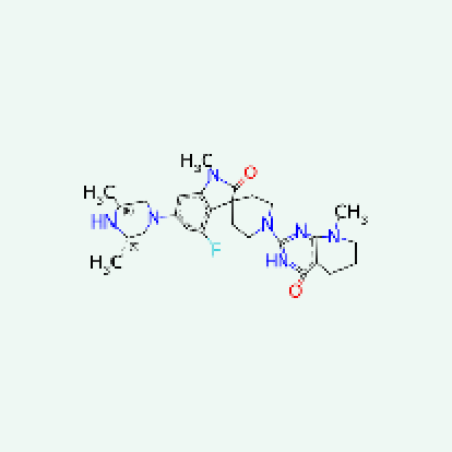 C[C@@H]1CN(c2cc(F)c3c(c2)N(C)C(=O)C32CCN(c3nc4c(c(=O)[nH]3)CCCN4C)CC2)C[C@H](C)N1